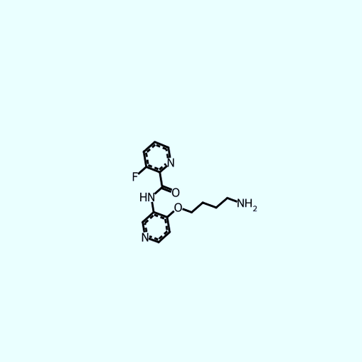 NCCCCOc1ccncc1NC(=O)c1ncccc1F